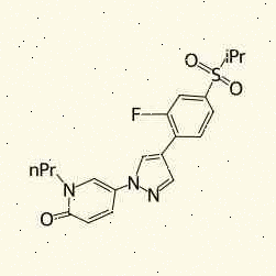 CCCn1cc(-n2cc(-c3ccc(S(=O)(=O)C(C)C)cc3F)cn2)ccc1=O